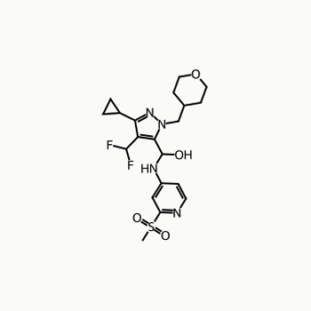 CS(=O)(=O)c1cc(NC(O)c2c(C(F)F)c(C3CC3)nn2CC2CCOCC2)ccn1